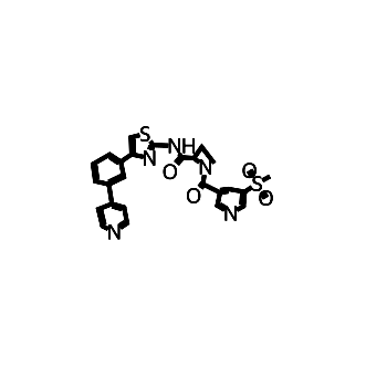 CS(=O)(=O)c1cncc(C(=O)N2CCC2C(=O)Nc2nc(-c3cccc(-c4ccncc4)c3)cs2)c1